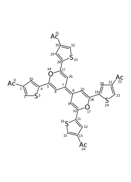 CC(=O)c1csc(C2=CC(=C3C=C(c4cc(C(C)=O)cs4)OC(c4cc(C(C)=O)cs4)=C3)C=C(c3cc(C(C)=O)cs3)O2)c1